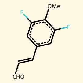 COc1c(F)cc(/C=C/C=O)cc1F